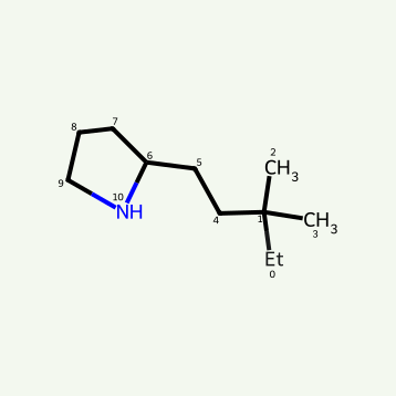 CCC(C)(C)CCC1CCCN1